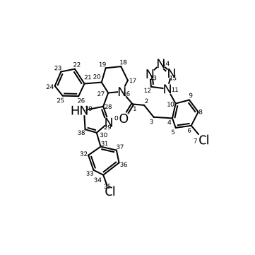 O=C(CCc1cc(Cl)ccc1-n1cnnn1)N1CCCC(c2ccccc2)C1c1nc(-c2ccc(Cl)cc2)c[nH]1